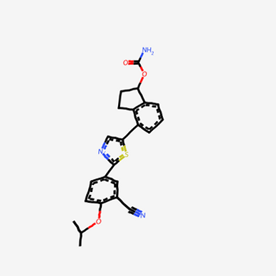 CC(C)Oc1ccc(-c2ncc(-c3cccc4c3CCC4OC(N)=O)s2)cc1C#N